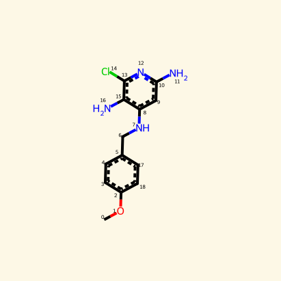 COc1ccc(CNc2cc(N)nc(Cl)c2N)cc1